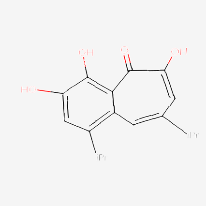 CC(C)c1cc(O)c(=O)c2c(O)c(O)cc(C(C)C)c2c1